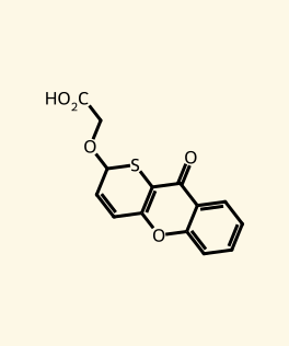 O=C(O)COC1C=Cc2oc3ccccc3c(=O)c2S1